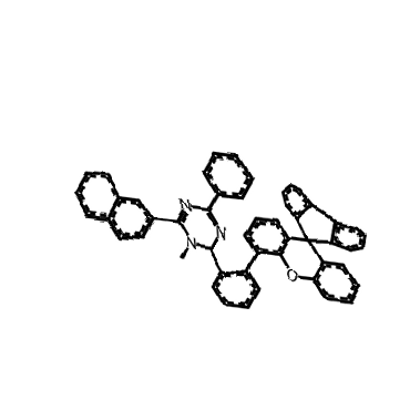 CN1C(c2ccc3ccccc3c2)=NC(c2ccccc2)=NC1c1ccccc1-c1cccc2c1Oc1ccccc1C21c2ccccc2-c2ccccc21